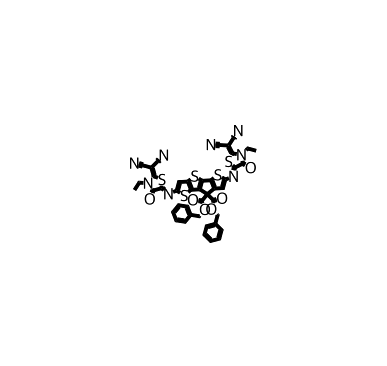 CCN1C(=O)/C(=N/c2cc3c(s2)-c2sc4cc(/N=C5\SC(=C(C#N)C#N)N(CC)C5=O)sc4c2C3(C(=O)OCc2ccccc2)C(=O)OCc2ccccc2)SC1=C(C#N)C#N